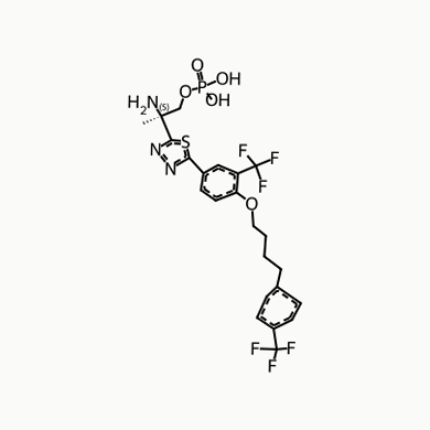 C[C@](N)(COP(=O)(O)O)c1nnc(-c2ccc(OCCCCc3ccc(C(F)(F)F)cc3)c(C(F)(F)F)c2)s1